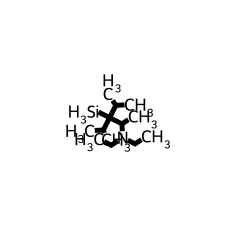 CCN(CC)C(C)C([SiH3])(C(C)C)C(C)C